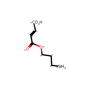 O=C(O)C=CC(=O)OCCC[SiH3]